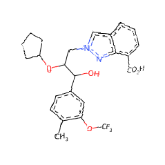 Cc1ccc(C(O)C(Cn2cc3cccc(C(=O)O)c3n2)OC2CCCC2)cc1OC(F)(F)F